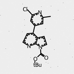 Cc1cc(-c2ccnc3c2ccn3C(=O)OC(C)(C)C)cc(Cl)n1